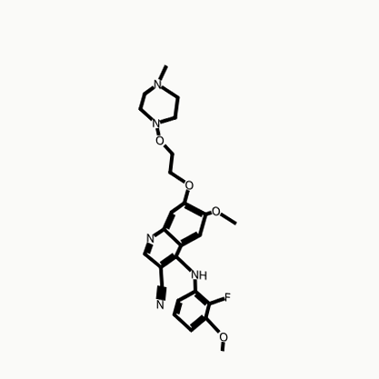 COc1cc2c(Nc3cccc(OC)c3F)c(C#N)cnc2cc1OCCON1CCN(C)CC1